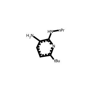 CCCNc1nc(C(C)(C)C)ccc1N